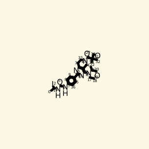 CC(I)NC(=O)Nc1ccc(-c2nc3c(c(N4CCOCC4C)n2)CN(C(=O)C2(C)COC2)CC3)cc1